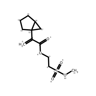 C=C(C(=O)OCCS(=O)(=O)OC)C12CCCC1C2